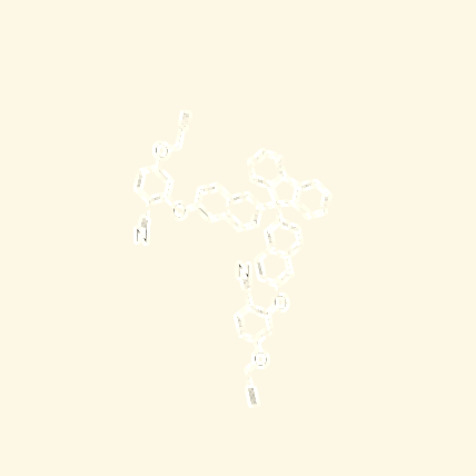 C#CCOc1ccc(C#N)c(Oc2ccc3cc(C4(c5ccc6cc(Oc7cc(OCC#C)ccc7C#N)ccc6c5)c5ccccc5-c5ccccc54)ccc3c2)c1